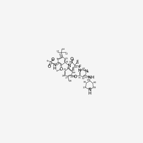 COc1c(NS(C)(=O)=O)cc(C(C)(C)C)cc1N(C(=O)C(F)(F)F)c1ccc(C)c(Oc2cc(NC3CCNCC3)ncn2)c1